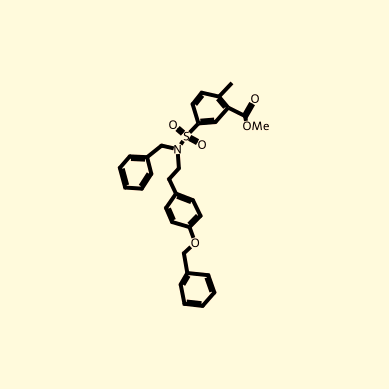 COC(=O)c1cc(S(=O)(=O)N(CCc2ccc(OCc3ccccc3)cc2)Cc2ccccc2)ccc1C